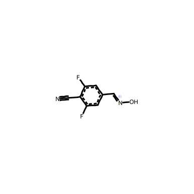 N#Cc1c(F)cc(/C=N/O)cc1F